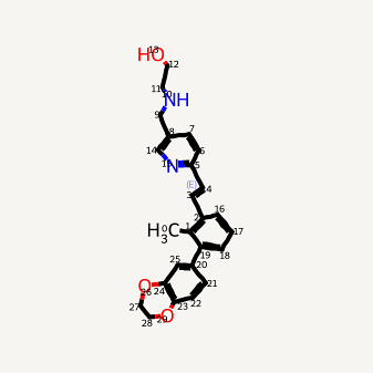 Cc1c(/C=C/c2ccc(CNCCO)cn2)cccc1-c1ccc2c(c1)OCCO2